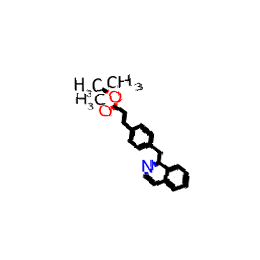 CC(C)(C)OC(=O)C=Cc1ccc(Cc2nccc3ccccc23)cc1